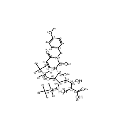 COc1ccc(Cn2c(=O)ccn([C@@H]3O[C@H]([C@H](O)[C@H](N)C(=O)O)[C@@H](O[Si](C)(C)C(C)(C)C)[C@H]3O[Si](C)(C)C(C)(C)C)c2=O)cc1